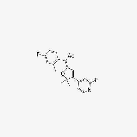 CC(=O)/C(=C1\C=C(c2ccnc(F)c2)C(C)(C)O1)c1ccc(F)cc1C